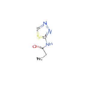 N#CCC(=O)Nc1nncs1